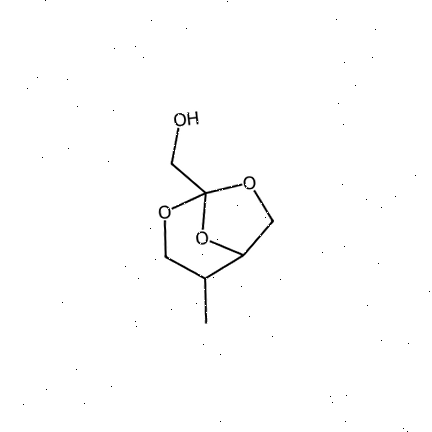 CC1COC2(CO)OCC1O2